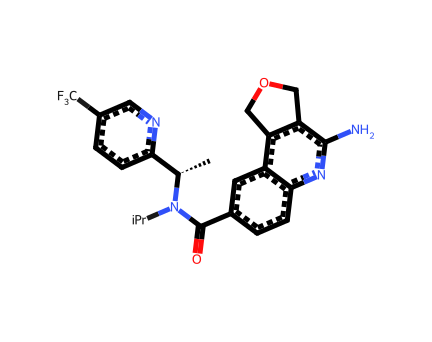 CC(C)N(C(=O)c1ccc2nc(N)c3c(c2c1)COC3)[C@@H](C)c1ccc(C(F)(F)F)cn1